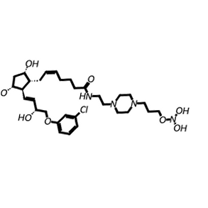 O=C(CCC/C=C\C[C@@H]1[C@@H](/C=C/[C@@H](O)COc2cccc(Cl)c2)[C@H](O)C[C@@H]1O)NCCN1CCN(CCCON(O)O)CC1